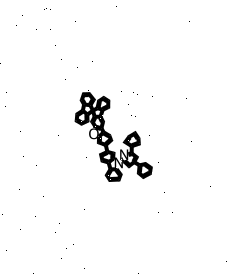 c1ccc(-c2cc(-c3ccccc3)nc(-n3c4ccccc4c4ccc(-c5ccc6c(c5)oc5cc7c(cc56)-c5ccccc5C75c6ccccc6-c6ccccc65)cc43)c2)cc1